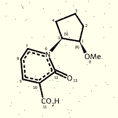 CO[C@@H]1CCC[C@@H]1n1cccc(C(=O)O)c1=O